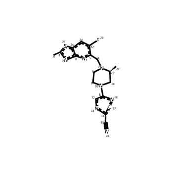 Cc1nc2nc(CN3CCN(c4cnc(C#N)cn4)C[C@@H]3C)c(F)cc2s1